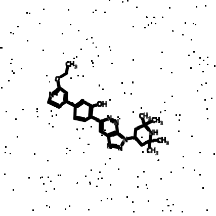 CCOc1cc(-c2ccc(-c3cc4nnn(C5CC(C)(C)NC(C)(C)C5)c4nn3)c(O)c2)ccn1